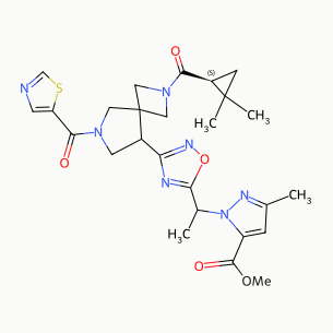 COC(=O)c1cc(C)nn1C(C)c1nc(C2CN(C(=O)c3cncs3)CC23CN(C(=O)[C@H]2CC2(C)C)C3)no1